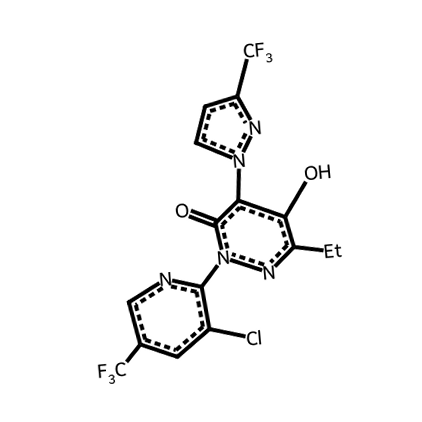 CCc1nn(-c2ncc(C(F)(F)F)cc2Cl)c(=O)c(-n2ccc(C(F)(F)F)n2)c1O